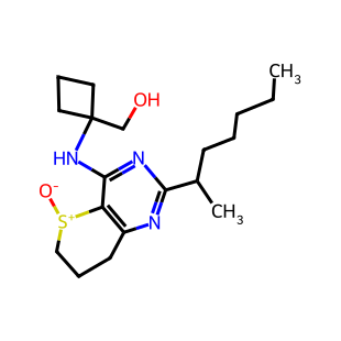 CCCCCC(C)c1nc2c(c(NC3(CO)CCC3)n1)[S+]([O-])CCC2